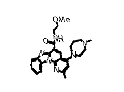 COCCNC(=O)c1cc2c(N3CCCN(C)CC3)cc(C)nc2n2c1nc1ccccc12